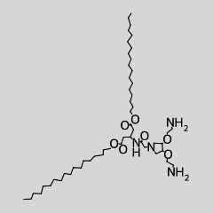 CCCCCCCCCCCCCCCCCCOC(=O)CC(CC(=O)OCCCCCCCCCCCCCCCCCC)NC(=O)CN1C[C@H](OCCN)[C@H](OCCN)C1